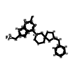 Cc1nc(N2CCCC3(CCN(Cc4ccccc4)C3)C2)c2cc(CC(F)(F)F)sc2n1